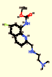 CN(C)CCNCc1ccc2cc(F)cc(NC(=O)OC(C)(C)C)c2n1